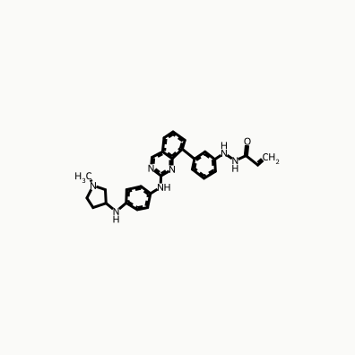 C=CC(=O)NNc1cccc(-c2cccc3cnc(Nc4ccc(NC5CCN(C)C5)cc4)nc23)c1